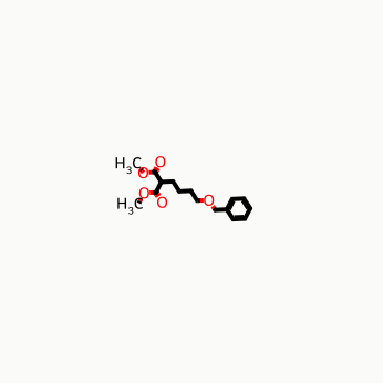 COC(=O)C(CCCCOCc1ccccc1)C(=O)OC